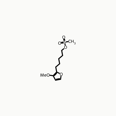 COc1ccoc1CCCCCOS(C)(=O)=O